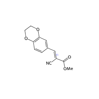 COC(=O)/C(C#N)=C/c1ccc2c(c1)OCCO2